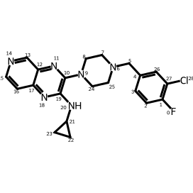 Fc1ccc(CN2CCN(c3nc4cnccc4nc3NC3CC3)CC2)cc1Cl